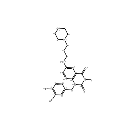 Cn1c(=O)c2nc(NCCCN3CCNCC3)nnc2n(Cc2ccc(F)c(F)c2)c1=O